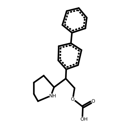 O=C(O)OCC(c1ccc(-c2ccccc2)cc1)C1CCCCN1